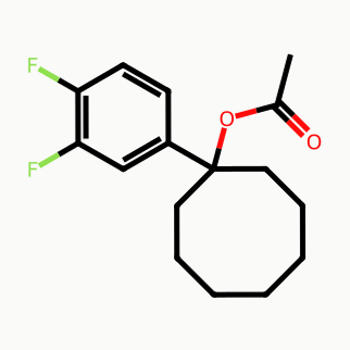 CC(=O)OC1(c2ccc(F)c(F)c2)CCCCCCC1